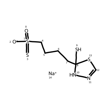 O=S([O-])(=S)CCCCC1(S)NN=CS1.[Na+]